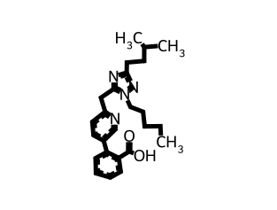 CCCCCn1nc(CCC(C)C)nc1Cc1ccc(-c2ccccc2C(=O)O)cn1